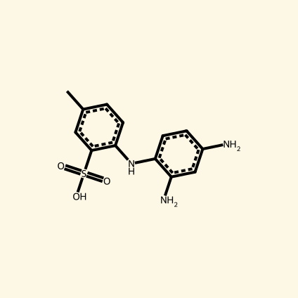 Cc1ccc(Nc2ccc(N)cc2N)c(S(=O)(=O)O)c1